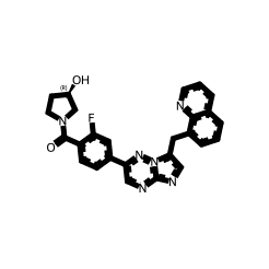 O=C(c1ccc(-c2cnc3ncc(Cc4cccc5cccnc45)n3n2)cc1F)N1CC[C@@H](O)C1